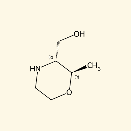 C[C@H]1OCCN[C@@H]1CO